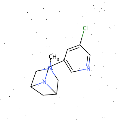 CN1CC2CC(C1)N2Cc1cncc(Cl)c1